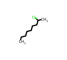 CCCCCCCC(C)Cl